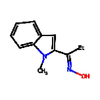 CC/C(=N\O)c1cc2ccccc2n1C